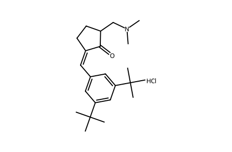 CN(C)CC1CCC(=Cc2cc(C(C)(C)C)cc(C(C)(C)C)c2)C1=O.Cl